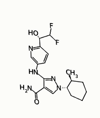 C[C@H]1CCCC[C@@H]1n1cc(C(N)=O)c(Nc2ccc([C@H](O)C(F)F)nc2)n1